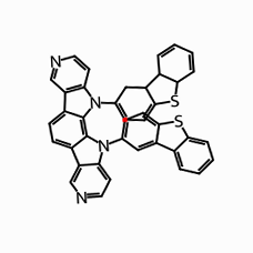 C1=CC2SC3=CC=C(n4c5ccncc5c5ccc6c7cnccc7n(-c7ccc8sc9ccccc9c8c7)c6c54)CC3C2C=C1